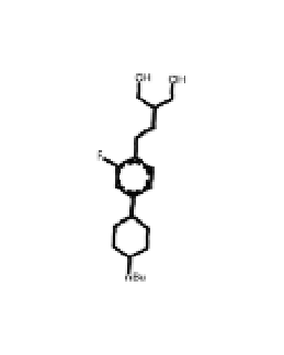 CCCCC1CCC(c2ccc(CCC(CO)CO)c(F)c2)CC1